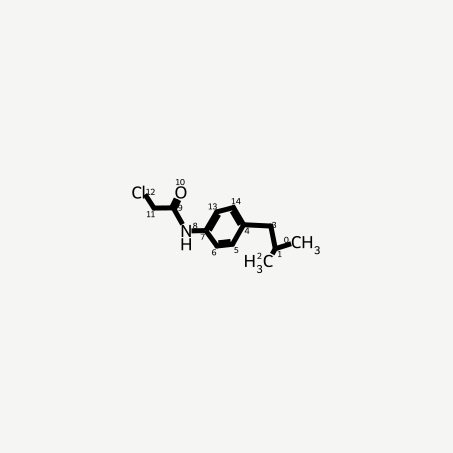 CC(C)Cc1ccc(NC(=O)CCl)cc1